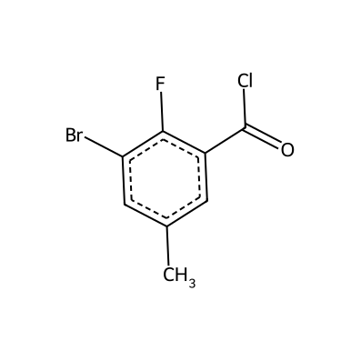 Cc1cc(Br)c(F)c(C(=O)Cl)c1